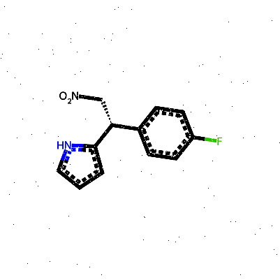 O=[N+]([O-])C[C@H](c1ccc(F)cc1)c1ccc[nH]1